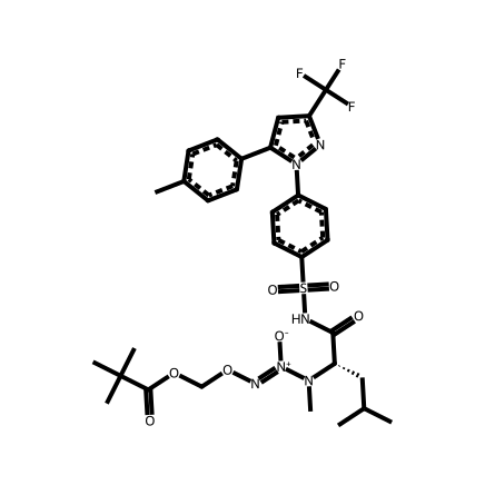 Cc1ccc(-c2cc(C(F)(F)F)nn2-c2ccc(S(=O)(=O)NC(=O)[C@H](CC(C)C)N(C)[N+]([O-])=NOCOC(=O)C(C)(C)C)cc2)cc1